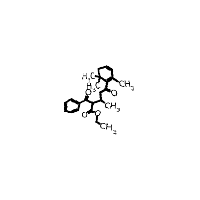 CCOC(=O)C(C(=O)c1ccccc1)C(C)CC(=O)C1=C(C)C=CCC1(C)C